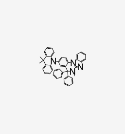 CN1c2nc3ccccc3n2-c2ccc(N3c4ccccc4C(C)(C)c4ccccc43)cc2C1(c1ccccc1)c1ccccc1